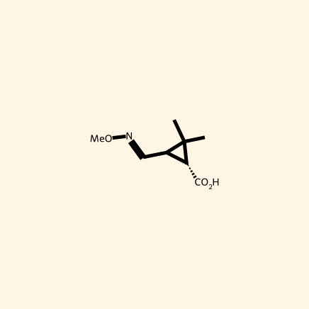 CO/N=C/C1[C@@H](C(=O)O)C1(C)C